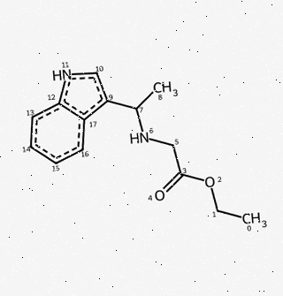 CCOC(=O)CNC(C)c1c[nH]c2ccccc12